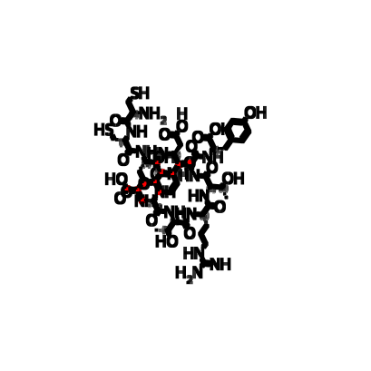 C[C@@H](O)[C@H](NC(=O)[C@H](CCCNC(=N)N)NC(=O)[C@@H](NC(=O)[C@H](CCC(=O)O)NC(=O)[C@H](CO)NC(=O)[C@H](CC(=O)O)NC(=O)[C@H](CCC(N)=O)NC(=O)[C@H](CS)NC(=O)[C@@H](N)CS)[C@@H](C)O)C(=O)N[C@@H](Cc1ccccc1)C(=O)N[C@@H](Cc1ccc(O)cc1)C(=O)O